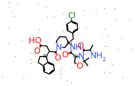 CC(N)C(=O)N1[C@H](C(=O)N[C@@]2(Cc3ccc(Cl)cc3)CCCN(C(=O)C(CC(=O)O)[C@@H]3CCc4ccccc43)C2)COC1(C)C